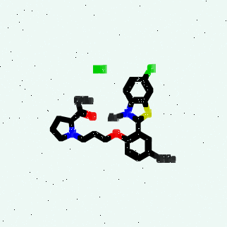 COC(=O)[C@@H]1CCCN1CCCOc1ccc(OC)cc1C1Sc2cc(Cl)ccc2N1C(C)=O.Cl